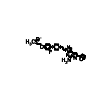 C[S+]([O-])CCOc1ccc(N2CCN(CCn3ncc4c3nc(N)n3nc(-c5ccco5)cc43)CC2)c(F)c1